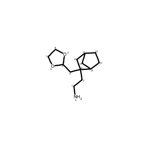 NCCC1(CC2OCCO2)CC2CCC1C2